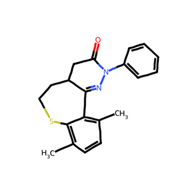 Cc1ccc(C)c2c1SCCC1CC(=O)N(c3ccccc3)N=C21